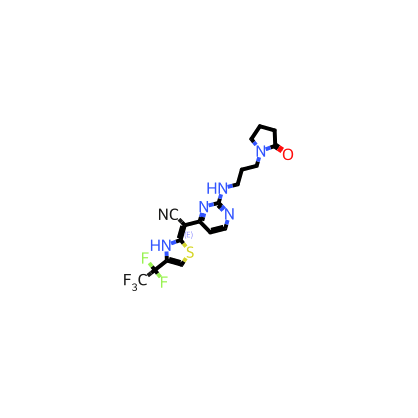 N#C/C(=C1\NC(C(F)(F)C(F)(F)F)=CS1)c1ccnc(NCCCN2CCCC2=O)n1